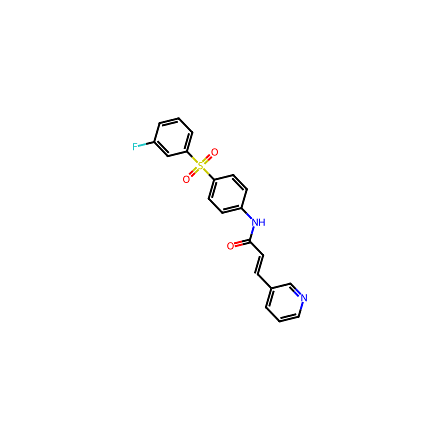 O=C(C=Cc1cccnc1)Nc1ccc(S(=O)(=O)c2cccc(F)c2)cc1